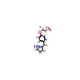 COC[C@@H](C)Oc1ccc(CC2CCCN2)cc1